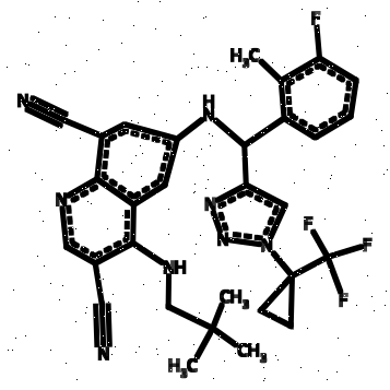 Cc1c(F)cccc1C(Nc1cc(C#N)c2ncc(C#N)c(NCC(C)(C)C)c2c1)c1cn(C2(C(F)(F)F)CC2)nn1